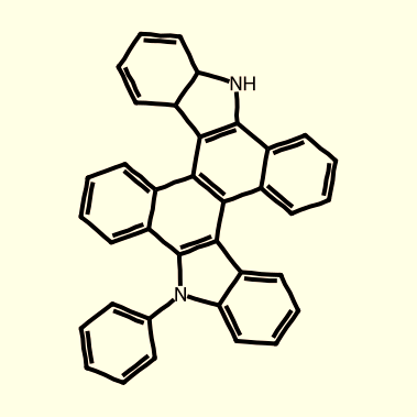 C1=CC2Nc3c(c4c5ccccc5c5c(c6ccccc6n5-c5ccccc5)c4c4ccccc34)C2C=C1